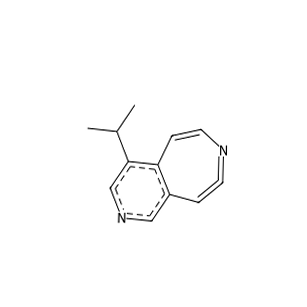 CC(C)c1cncc2c1C=CN=C=C2